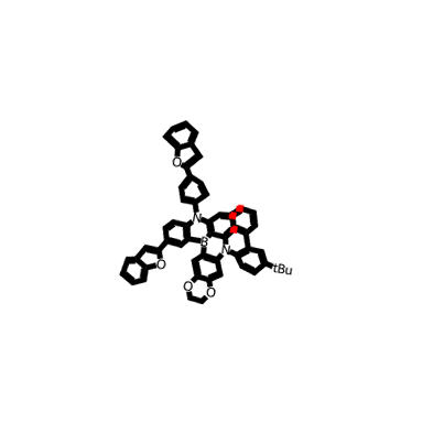 Cc1cc2c3c(c1)N(c1ccc(C(C)(C)C)cc1-c1ccccc1)c1cc4c(cc1B3c1cc(-c3cc5ccccc5o3)ccc1N2c1ccc(-c2cc3ccccc3o2)cc1)OCCO4